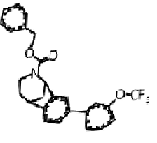 O=C(OCc1ccccc1)N1CCC2CC1c1cc(-c3cccc(OC(F)(F)F)c3)ccc12